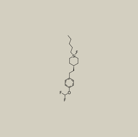 CCCCC[Si@]1(F)CC[C@@H](CCc2ccc(OC(F)F)cc2)CC1